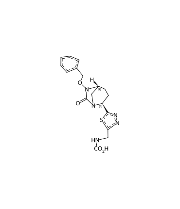 O=C(O)NCc1nnc([C@@H]2CC[C@@H]3CN2C(=O)N3OCc2ccccc2)s1